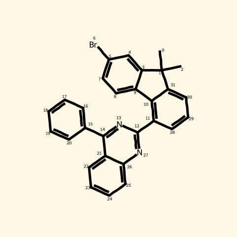 CC1(C)c2cc(Br)ccc2-c2c(-c3nc(-c4ccccc4)c4ccccc4n3)cccc21